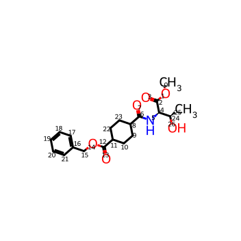 COC(=O)[C@H](NC(=O)C1CCC(C(=O)OCc2ccccc2)CC1)[C@@H](C)O